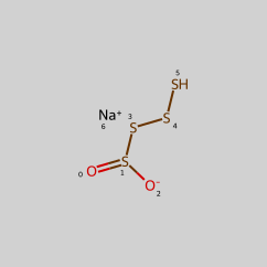 O=S([O-])SSS.[Na+]